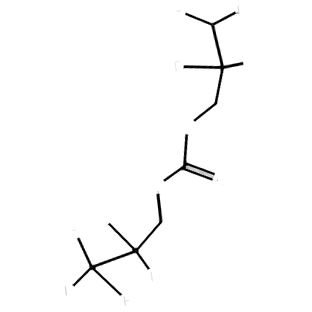 O=C(OCC(F)(F)C(F)F)OCC(F)(F)C(F)(F)F